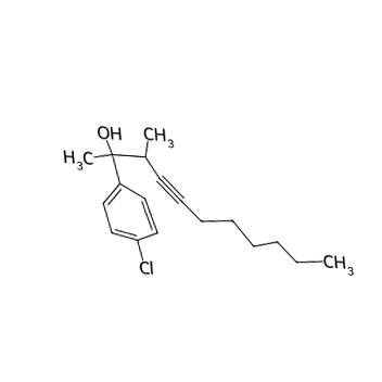 CCCCCCC#CC(C)C(C)(O)c1ccc(Cl)cc1